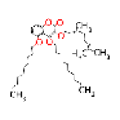 CCCCCCCCCCOc1cccc2oc(=O)c(OC/C=C(\C)CCC=C(C)C)c(OCCCCCCCCCC)c12